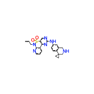 C=CCN1c2ncccc2-c2nc(Nc3ccc4c(c3)CNCC43CC3)ncc2S1(=O)=O